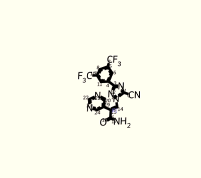 N#Cc1nc(-c2cc(C(F)(F)F)cc(C(F)(F)F)c2)nn1/C=C(/C(N)=O)c1cncnc1